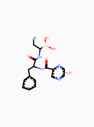 CC(C)CC(NC(=O)C(Cc1ccccc1)NC(=O)c1cnccn1)B(O)O.O